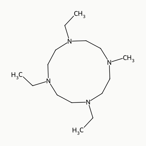 CCN1CCN(C)CCN(CC)CCN(CC)CC1